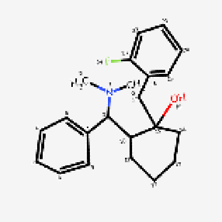 CN(C)C(c1ccccc1)C1CCCCC1(O)Cc1ccccc1F